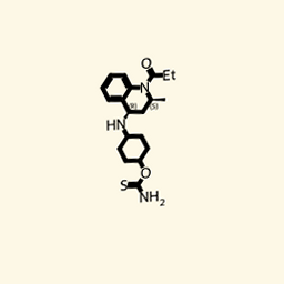 CCC(=O)N1c2ccccc2[C@H](NC2CCC(OC(N)=S)CC2)C[C@@H]1C